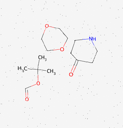 C1COCCO1.CC(C)(C)OC=O.O=C1CCNCC1